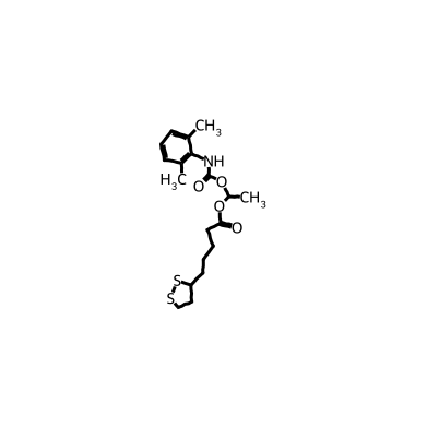 Cc1cccc(C)c1NC(=O)OC(C)OC(=O)CCCCC1CCSS1